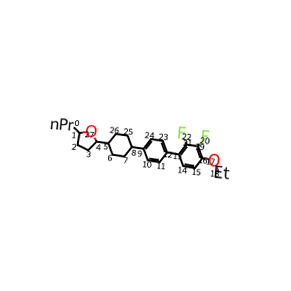 CCCC1CCC(C2CCC(c3ccc(-c4ccc(OCC)c(F)c4F)cc3)CC2)O1